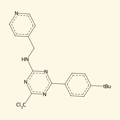 CC(C)(C)c1ccc(-c2nc(NCc3ccncc3)nc(C(Cl)(Cl)Cl)n2)cc1